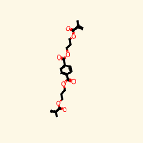 C=C(C)C(=O)OCCCOC(=O)c1ccc(C(=O)OCCCOC(=O)C(=C)C)cc1